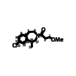 COCCC(=O)N1CCc2ccc(Cl)cc2C(C)C1